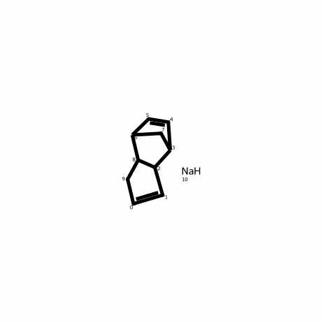 C1=CC2C3C=CC(C3)C2C1.[NaH]